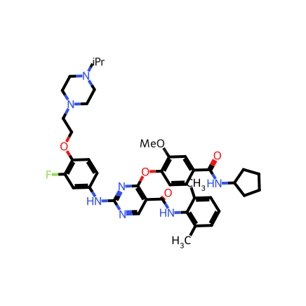 COc1cc(C(=O)NC2CCCC2)ccc1Oc1nc(Nc2ccc(OCCN3CCN(C(C)C)CC3)c(F)c2)ncc1C(=O)Nc1c(C)cccc1C